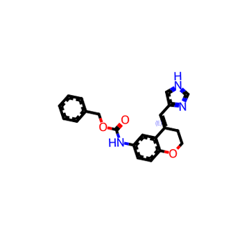 O=C(Nc1ccc2c(c1)/C(=C/c1c[nH]cn1)CCO2)OCc1ccccc1